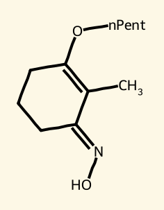 CCCCCOC1=C(C)C(=NO)CCC1